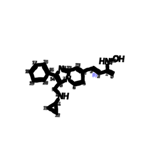 C=C(/C=C/c1ccn2c(CNC3CC3)c(-c3ccccc3)nc2c1)NO